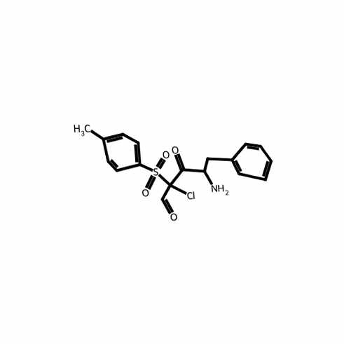 Cc1ccc(S(=O)(=O)C(Cl)(C=O)C(=O)C(N)Cc2ccccc2)cc1